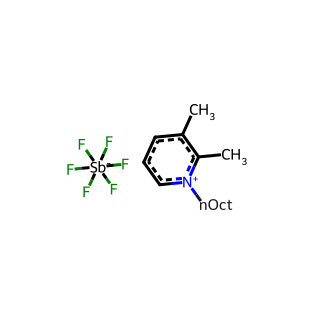 CCCCCCCC[n+]1cccc(C)c1C.[F][Sb-]([F])([F])([F])([F])[F]